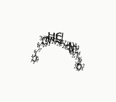 Cl.Cl.c1ccc(CCCC2CCN(CCCCCCCN3CCC(CCCc4ccccc4)CC3)CC2)cc1